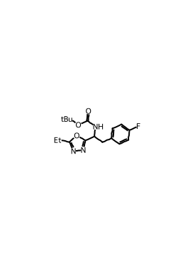 CCc1nnc(C(Cc2ccc(F)cc2)NC(=O)OC(C)(C)C)o1